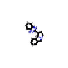 c1ccc2c(c1)CN1CCC(c3nc4ccccc4[nH]3)=C21